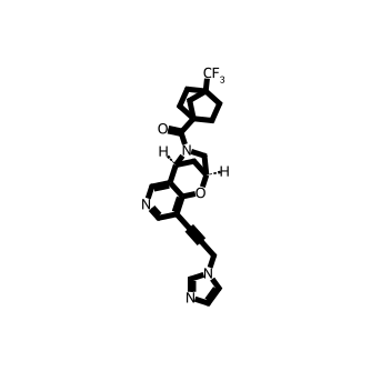 O=C(N1C[C@@H]2C[C@H]1c1cncc(C#CCn3ccnc3)c1O2)C12CCC(C(F)(F)F)(CC1)C2